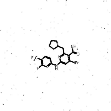 CC(C)c1cc(Nc2ccc(C(F)(F)F)c(F)c2)nc(CC2CCCC2)c1C(N)=O